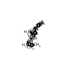 Cc1ccc(C(C)C)c(N2C(=O)CS/C2=N\C(=O)NC(Cc2ccc(-c3ncn(-c4ccc(OC(F)(F)F)cc4)n3)cc2)NC(=O)CC(C)(C)C)c1